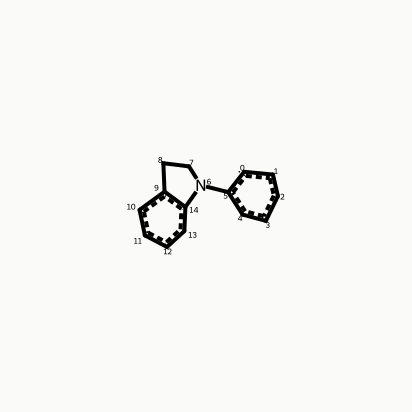 [c]1ccccc1N1CCc2ccccc21